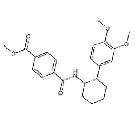 COC(=O)c1ccc(C(=O)NC2CCCCC2c2ccc(OC)c(OC)c2)cc1